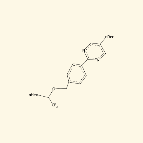 CCCCCCCCCCc1cnc(-c2ccc(COC(CCCCCC)C(F)(F)F)cc2)nc1